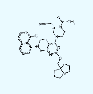 CC(=O)N1CCN(c2nc(OCC34CCCN3CCC4)nc3c2CCN(c2cccc4cccc(Cl)c24)C3)C[C@@H]1CC#N